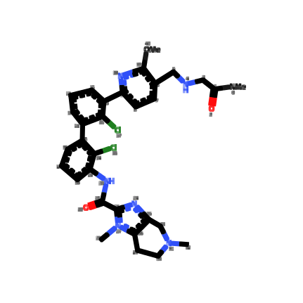 CNC(=O)CNCc1ccc(-c2cccc(-c3cccc(NC(=O)c4nc5c(n4C)CCN(C)C5)c3Cl)c2Cl)nc1OC